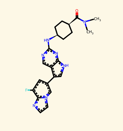 CN(C)C(=O)[C@H]1CC[C@@H](Nc2ncc3c(-c4cc(F)c5nccn5c4)c[nH]c3n2)CC1